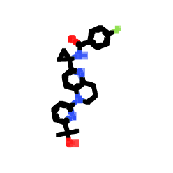 CC(C)(O)c1cccc(N2CCCc3nc(C4(NC(=O)c5ccc(F)cc5)CC4)ccc32)n1